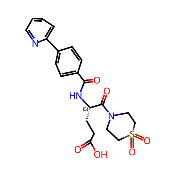 O=C(O)CC[C@H](NC(=O)c1ccc(-c2ccccn2)cc1)C(=O)N1CCS(=O)(=O)CC1